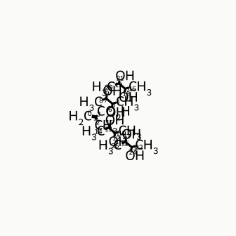 C=C(C)C(=O)O.CC(O)C(C)O.CC(O)C(C)O.CC(O)C(C)O.CC(O)C(C)O